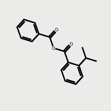 CC(C)c1ccccc1C(=O)OC(=O)c1ccccc1